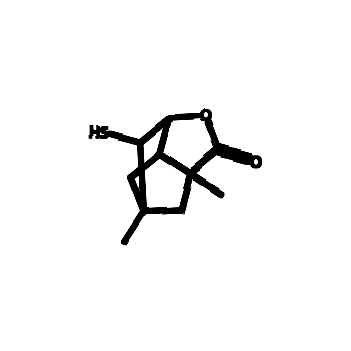 CC12CC3C(OC(=O)C3(C)C1)C2S